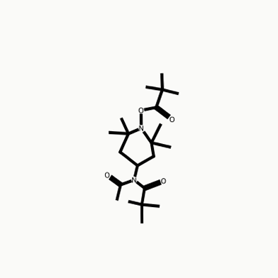 CC(=O)N(C(=O)C(C)(C)C)C1CC(C)(C)N(OC(=O)C(C)(C)C)C(C)(C)C1